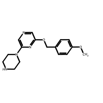 COc1ccc(COc2cncc(N3CCNCC3)n2)cc1